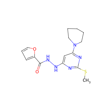 CSc1nc(NNC(=O)c2ccco2)cc(N2CCCCC2)n1